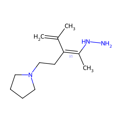 C=C(C)/C(CCN1CCCC1)=C(/C)NN